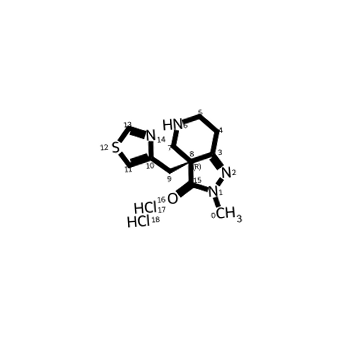 CN1N=C2CCNC[C@@]2(Cc2cscn2)C1=O.Cl.Cl